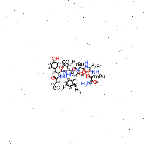 CCCC[C@H](NC(=O)[C@H](CC(C)C)NC(=O)[C@@H](NC(=O)[C@H](Cc1ccccc1C)NC(=O)[C@H](CCC(=O)O)NC(=O)[C@H](Cc1ccc(O)cc1)NC(=O)CCC(=O)O)C(C)(C)C)C(=O)C(N)=O